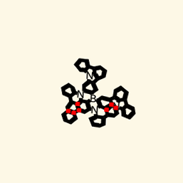 c1ccc(-c2cc3c4c(c2)N(c2ccccc2-c2ccccc2)c2cc5c(cc2B4c2cc4c6cccc7c8ccccc8n(c4cc2N3c2ccccc2-c2ccccc2)c76)c2cccc3c4ccccc4n5c32)cc1